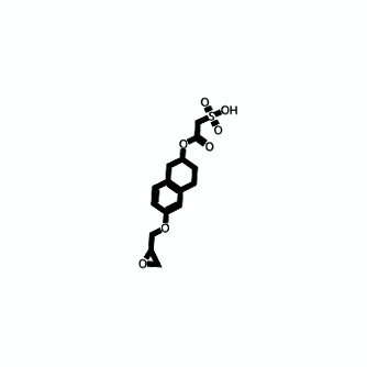 O=C(CS(=O)(=O)O)OC1CCc2cc(OCC3CO3)ccc2C1